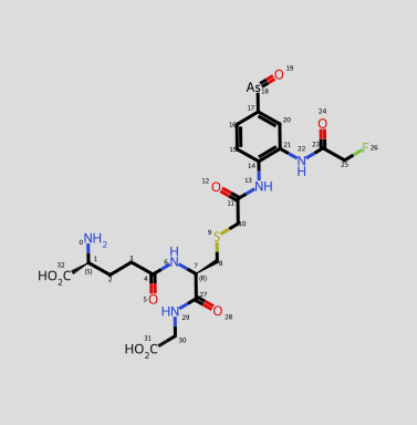 N[C@@H](CCC(=O)N[C@@H](CSCC(=O)Nc1ccc([As]=O)cc1NC(=O)CF)C(=O)NCC(=O)O)C(=O)O